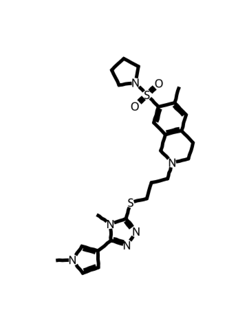 Cc1cc2c(cc1S(=O)(=O)N1CCCC1)CN(CCCSc1nnc(-c3ccn(C)c3)n1C)CC2